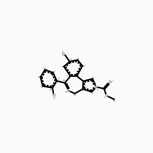 COC(=O)n1cc2c(c1)-c1ccc(Cl)cc1C(c1ccccc1Cl)=NC2